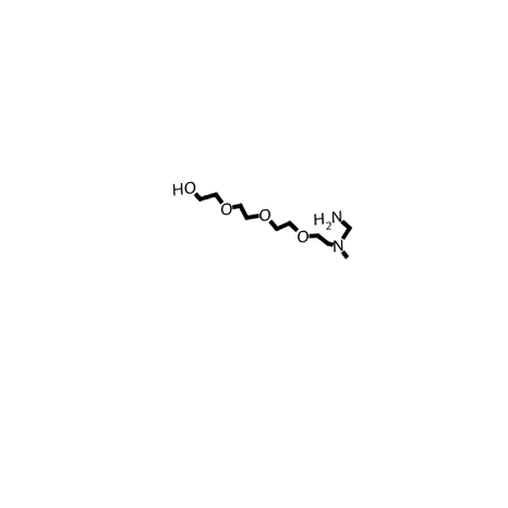 CN(CN)CCOCCOCCOCCO